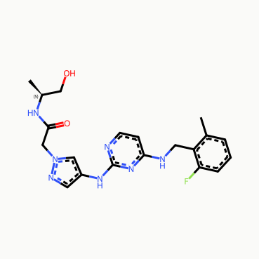 Cc1cccc(F)c1CNc1ccnc(Nc2cnn(CC(=O)N[C@@H](C)CO)c2)n1